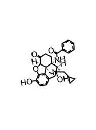 O=C(N[C@@]12CCC(=O)[C@@H]3Oc4c(O)ccc5c4[C@@]31CC[N+](O)(CC1CC1)[C@@H]2C5)c1ccccc1